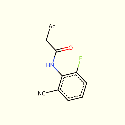 CC(=O)CC(=O)Nc1c(F)cccc1C#N